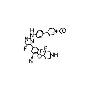 N#Cc1cc(-c2nc(Nc3ccc(C4CCN(C5COC5)CC4)cc3)ncc2F)ccc1OC1CCNCC1(F)F